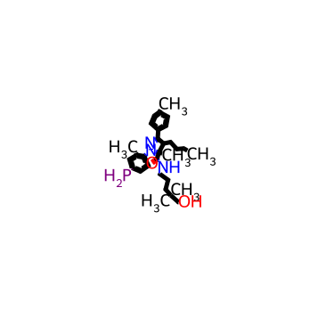 CCCCC1C(c2ccc(C)cc2)=NN(c2ccc(P)cc2C)C1(C)C(=O)NCCCC(C)(C)CO